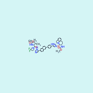 COC(=O)N[C@H]1CCc2cccc3c2N(C1=O)[C@H](c1ncc(-c2ccc(-c4ccc5cc(-c6cnc([C@@H]7CC(F)(F)CN7C(=O)[C@@H](NC(=O)OC)C(C)C)[nH]6)ccc5c4)cc2)[nH]1)C3